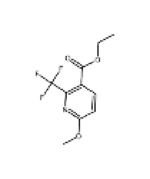 CCOC(=O)c1ccc(OC)nc1C(F)(F)F